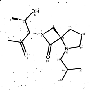 CC(=O)[C@H]([C@@H](C)O)N1C[C@]2(CCCN2CC(C)C)C1=O